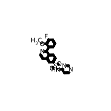 COc1c(F)cccc1-c1nccc2cc(S(=O)(=O)Nc3ccncn3)ccc12